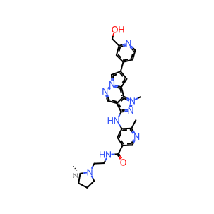 Cc1ncc(C(=O)NCCN2CCC[C@@H]2C)cc1Nc1nn(C)c2c1cnn1cc(-c3ccnc(CO)c3)cc21